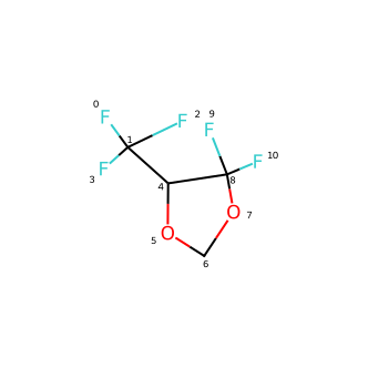 FC(F)(F)C1OCOC1(F)F